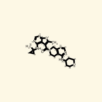 Cc1oc2ncnc(NC3(C)CC3)c2c1C(=O)N1CCc2c(ncnc2NC2CCOCC2)C1